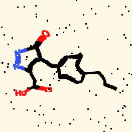 CCCc1ccc(C2=C(C(=O)O)N=NC2=O)cc1